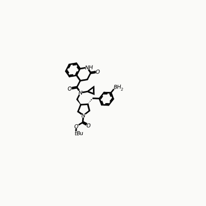 Bc1cccc(C[C@@H]2CN(C(=O)OC(C)(C)C)C[C@H]2CN(C(=O)C2CC(=O)Nc3ccccc32)C2CC2)c1